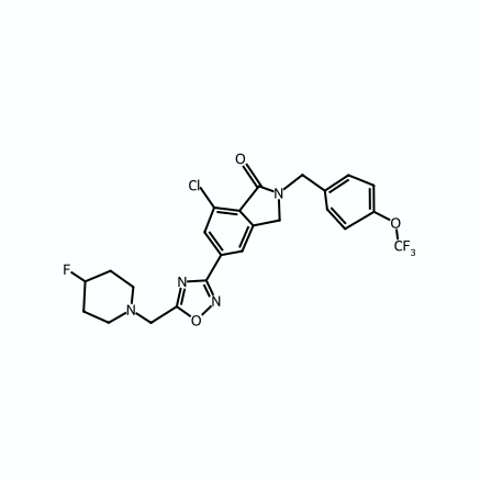 O=C1c2c(Cl)cc(-c3noc(CN4CCC(F)CC4)n3)cc2CN1Cc1ccc(OC(F)(F)F)cc1